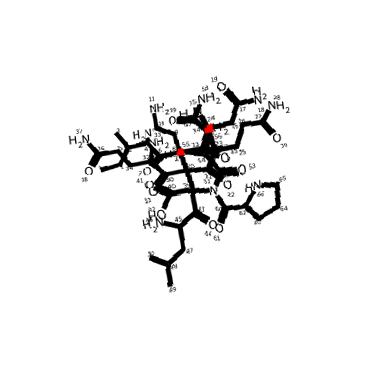 CCC(C)C(N)C(=O)C(CCN)(C(=O)C(N)CC(N)=O)C(C(=O)C(N)CCC(N)=O)(C(=O)C(N)CCC(N)=O)C(C(=O)O)(C(=O)C(N)CC(C)C)N(C(=O)C(N)CC(N)=O)C(=O)C1CCCN1